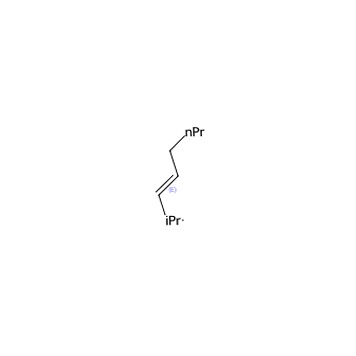 CCCC/C=C/[C](C)C